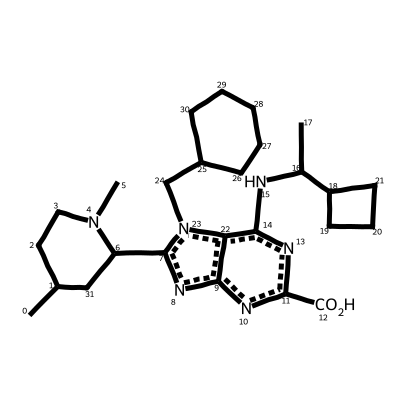 CC1CCN(C)C(c2nc3nc(C(=O)O)nc(NC(C)C4CCC4)c3n2CC2CCCCC2)C1